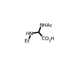 CCNC(NC(C)=O)C(=O)O